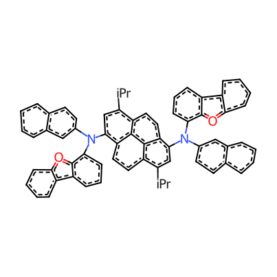 CC(C)c1cc(N(c2ccc3ccccc3c2)c2cccc3c2oc2ccccc23)c2ccc3c(C(C)C)cc(N(c4ccc5ccccc5c4)c4cccc5c4oc4ccccc45)c4ccc1c2c34